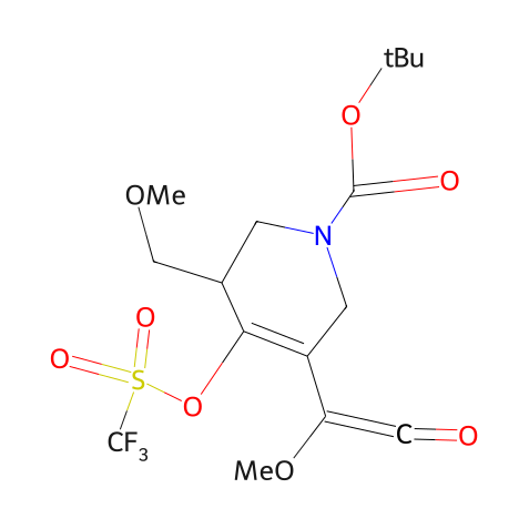 COCC1CN(C(=O)OC(C)(C)C)CC(C(=C=O)OC)=C1OS(=O)(=O)C(F)(F)F